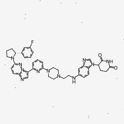 O=C1CCC(n2cnc3cc(NCCN4CCN(c5cccc(-c6cnc7ccc(N8CCC[C@@H]8c8cccc(F)c8)nn67)n5)CC4)ccc32)C(=O)N1